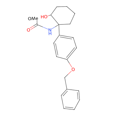 COC(=O)NC1(c2ccc(OCc3ccccc3)cc2)CCCCC1O